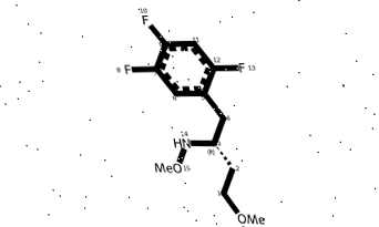 COCC[C@@H](Cc1cc(F)c(F)cc1F)NOC